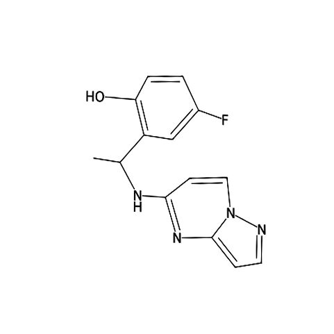 CC(Nc1ccn2nccc2n1)c1cc(F)ccc1O